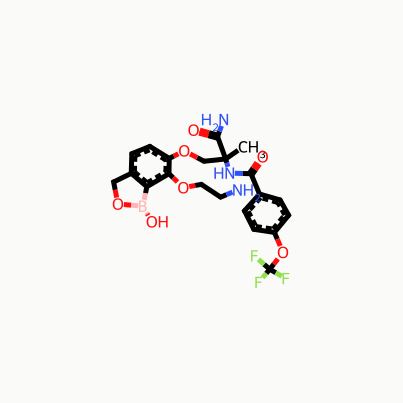 CC(COc1ccc2c(c1OCCN)B(O)OC2)(NC(=O)c1ccc(OC(F)(F)F)cc1)C(N)=O